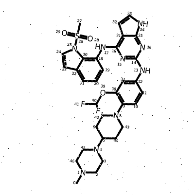 CN1CCN(C2CCN(c3ccc(Nc4nc(Nc5cccc6ccn(S(C)(=O)=O)c56)c5cc[nH]c5n4)cc3OC(F)F)CC2)CC1